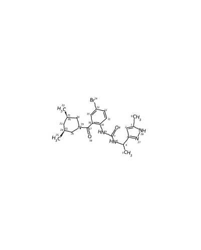 Cc1cc(C(C)NC(=O)Nc2ccc(Br)cc2C(=O)N2C[C@H](C)C[C@H](C)C2)n[nH]1